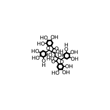 O=C(c1cc(O)c(O)c(O)c1)C(O)(C(=O)c1cc(O)c(O)c(O)c1)[C@H](O)[C@H](O)C(O)(C(=O)c1cc(O)c(O)c(O)c1)C(=O)c1cc(O)c(O)c(O)c1